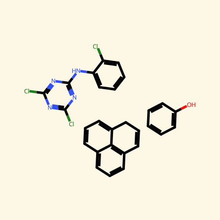 C1=Cc2cccc3cccc(c23)C1.Clc1nc(Cl)nc(Nc2ccccc2Cl)n1.Oc1ccccc1